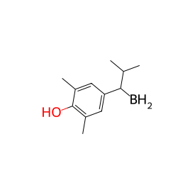 BC(c1cc(C)c(O)c(C)c1)C(C)C